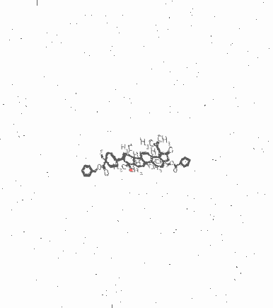 CC(C)C1=C2[C@@H]3CC[C@@H]4[C@H]5[C@@H](CC[C@@]4(C)[C@]3(C)CC[C@@]2(COC(=O)c2ccccc2)CC1=O)C(C)(C)C(C1=CC[C@](CF)(C(=O)OCc2ccccc2)CC1)=C[C@@H]5C